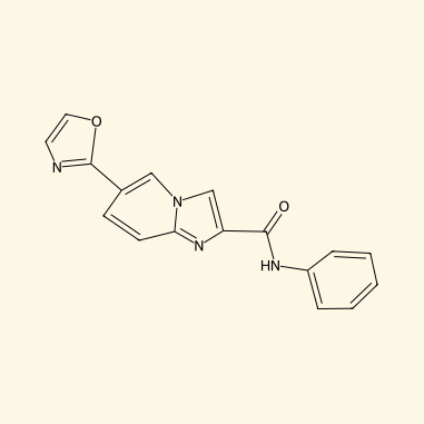 O=C(Nc1ccccc1)c1cn2cc(-c3ncco3)ccc2n1